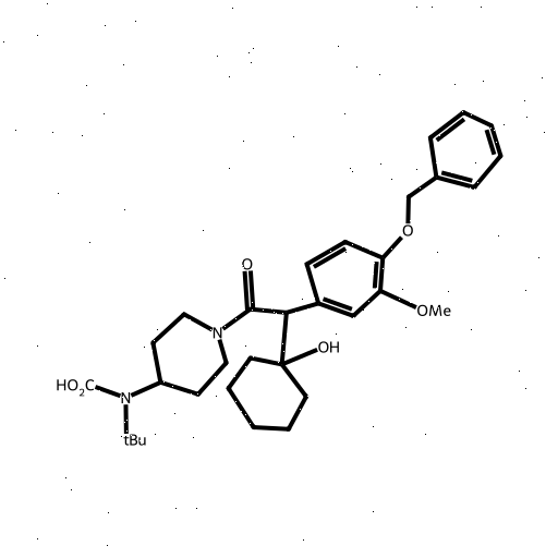 COc1cc(C(C(=O)N2CCC(N(C(=O)O)C(C)(C)C)CC2)C2(O)CCCCC2)ccc1OCc1ccccc1